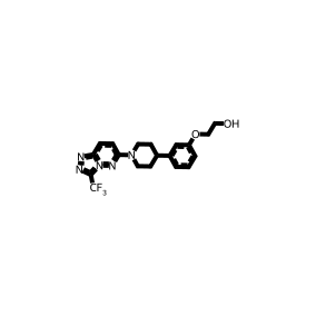 OCCOc1cccc(C2CCN(c3ccc4nnc(C(F)(F)F)n4n3)CC2)c1